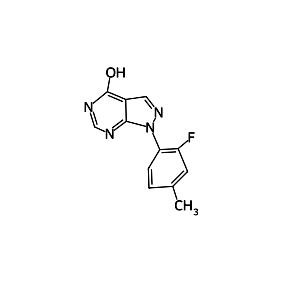 Cc1ccc(-n2ncc3c(O)ncnc32)c(F)c1